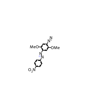 COc1cc([N+]#N)c(OC)cc1/N=N/c1ccc([N+](=O)[O-])cc1